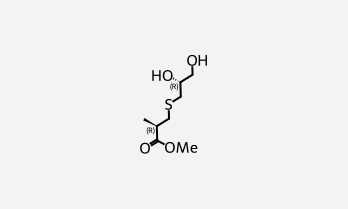 COC(=O)[C@@H](C)CSC[C@H](O)CO